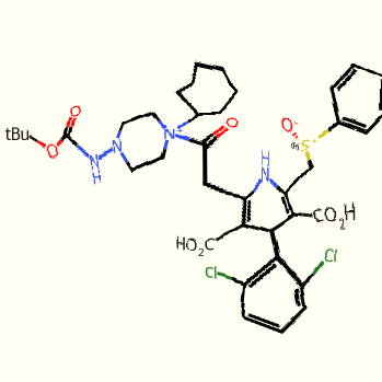 CC(C)(C)OC(=O)NN1CC[N+](C(=O)CC2=C(C(=O)O)C(c3c(Cl)cccc3Cl)C(C(=O)O)=C(C[S@+]([O-])c3ccccc3)N2)(C2CCCCC2)CC1